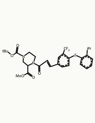 COC(=O)C1CN(C(=O)OC(C)(C)C)CCN1C(=O)C=Cc1ccc(Sc2ccccc2C(C)C)c(C(F)(F)F)c1